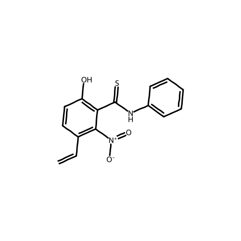 C=Cc1ccc(O)c(C(=S)Nc2ccccc2)c1[N+](=O)[O-]